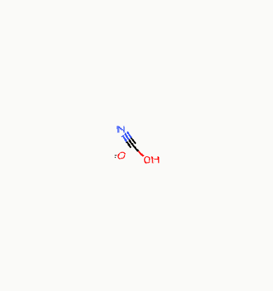 N#CO.[O]